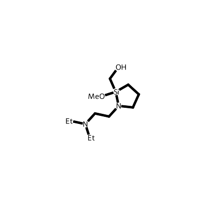 CCN(CC)CCN1CCC[Si]1(CO)OC